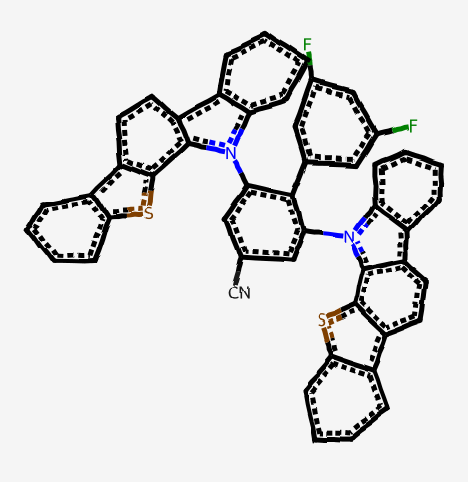 N#Cc1cc(-n2c3ccccc3c3ccc4c5ccccc5sc4c32)c(-c2cc(F)cc(F)c2)c(-n2c3ccccc3c3ccc4c5ccccc5sc4c32)c1